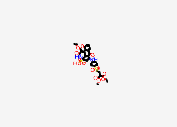 CCOC(=O)c1c2c3c(c(Nc4ccc(S(=O)(=O)CCC(C(=O)OCC)C(=O)OCC)cc4)cc(S(=O)(=O)O)c3[nH]c1=O)C(=O)c1ccccc1-2